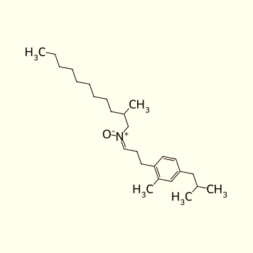 CCCCCCCCCC(C)C/[N+]([O-])=C\CCc1ccc(CC(C)C)cc1C